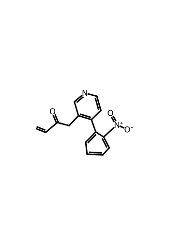 C=CC(=O)Cc1cnccc1-c1ccccc1[N+](=O)[O-]